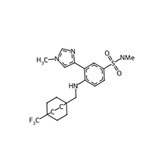 CNS(=O)(=O)c1ccc(NCC23CCC(C(F)(F)F)(CC2)CC3)c(-c2cn(C)cn2)c1